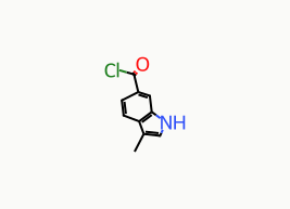 Cc1c[nH]c2cc(C(=O)Cl)ccc12